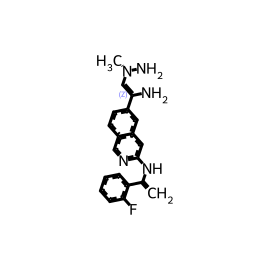 C=C(Nc1cc2cc(/C(N)=C/N(C)N)ccc2cn1)c1ccccc1F